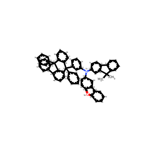 CC1(C)c2ccccc2-c2ccc(N(c3cccc(C4(c5ccccc5)c5ccccc5C5(c6ccccc6)c6ccccc6-c6cccc4c65)c3)c3ccc4oc5ccccc5c4c3)cc21